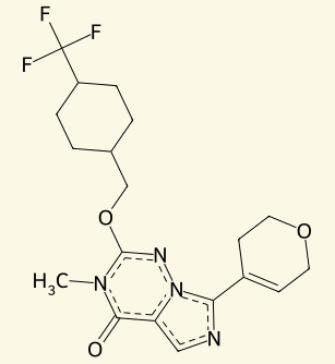 Cn1c(OCC2CCC(C(F)(F)F)CC2)nn2c(C3=CCOCC3)ncc2c1=O